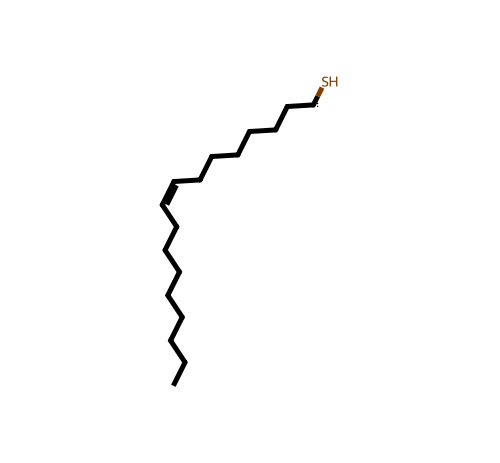 CCCCCCCC/C=C\CCCCCC[C]S